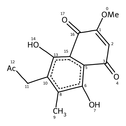 COC1=CC(=O)c2c(O)c(C)c(CC(C)=O)c(O)c2C1=O